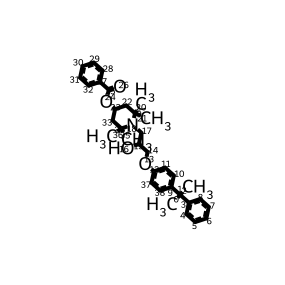 CC(C)(c1ccccc1)c1ccc(OCC(O)CN2C(C)(C)CC(OC(=O)c3ccccc3)CC2(C)C)cc1